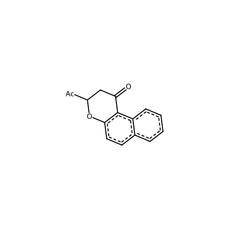 CC(=O)C1CC(=O)c2c(ccc3ccccc23)O1